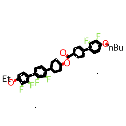 CCCCOc1ccc(C2=CCC(C(=O)OC3CCC(c4ccc(-c5ccc(OCC)c(F)c5F)c(F)c4F)CC3)CC2)c(F)c1F